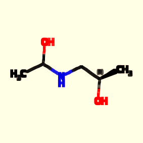 CC(O)NC[C@@H](C)O